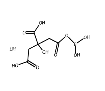 O=C(O)CC(O)(CC(=O)OB(O)O)C(=O)O.[LiH]